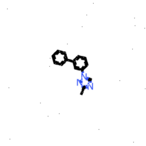 Cc1ncn(-c2cccc(-c3ccccc3)c2)n1